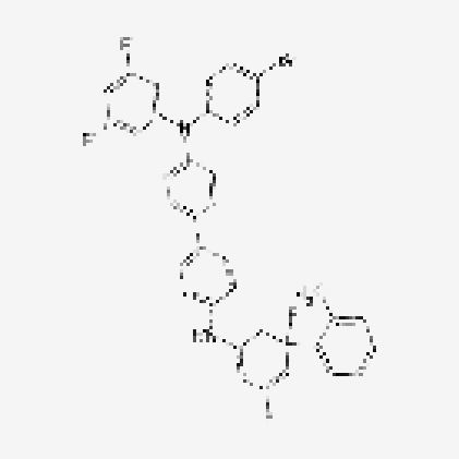 Cc1ccccc1C1(F)C=C(F)C=C(Nc2ccc(-c3ccc(N(c4ccc(Br)cc4)c4cc(F)cc(F)c4)cc3)cc2)C1